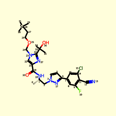 C[C@@H](Cn1ccc(-c2cc(F)c(C#N)c(Cl)c2)n1)NC(=O)c1cn(COCC[Si](C)(C)C)c(C(C)(C)O)n1